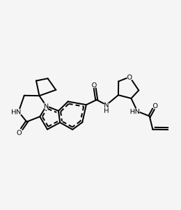 C=CC(=O)NC1COCC1NC(=O)c1ccc2cc3n(c2c1)C1(CCC1)CNC3=O